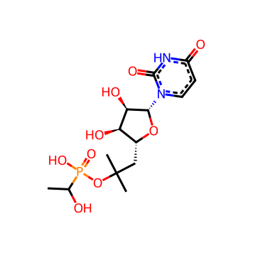 CC(O)P(=O)(O)OC(C)(C)C[C@H]1O[C@@H](n2ccc(=O)[nH]c2=O)[C@H](O)[C@@H]1O